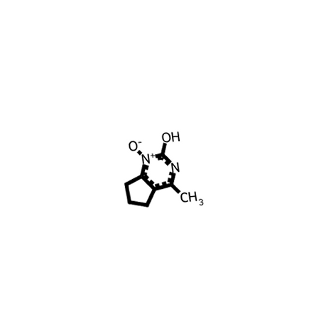 Cc1nc(O)[n+]([O-])c2c1CCC2